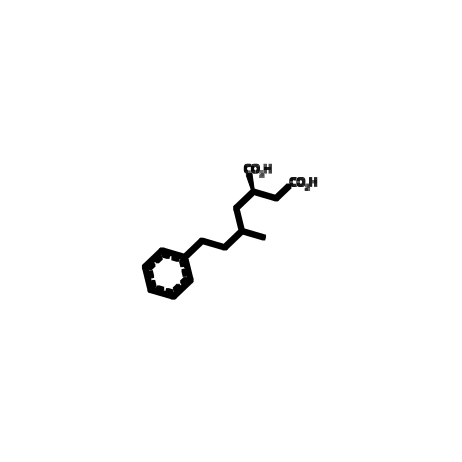 CC(CCc1ccccc1)C[C@H](CC(=O)O)C(=O)O